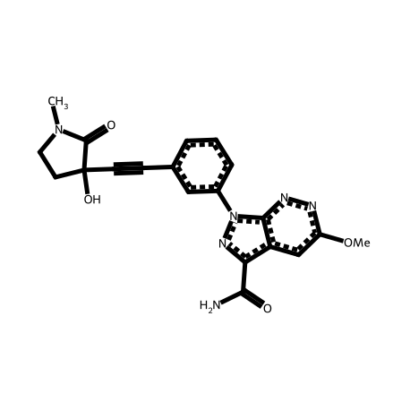 COc1cc2c(C(N)=O)nn(-c3cccc(C#CC4(O)CCN(C)C4=O)c3)c2nn1